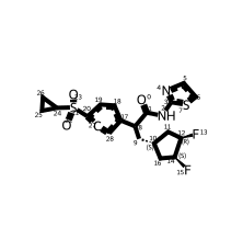 O=C(Nc1nccs1)C(C[C@@H]1C[C@@H](F)[C@@H](F)C1)c1ccc(S(=O)(=O)C2CC2)cc1